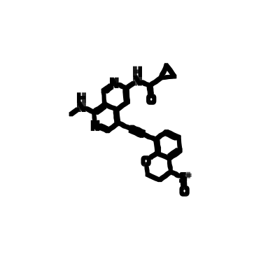 CNc1ncc(C#Cc2cccc3c2OCCC3[S+]=O)c2cc(NC(=O)C3CC3)ncc12